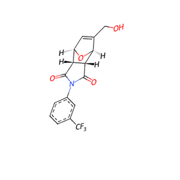 O=C1[C@@H]2[C@H](C(=O)N1c1cccc(C(F)(F)F)c1)[C@H]1C=C(CO)[C@@H]2O1